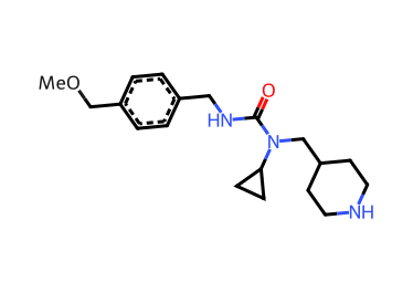 COCc1ccc(CNC(=O)N(CC2CCNCC2)C2CC2)cc1